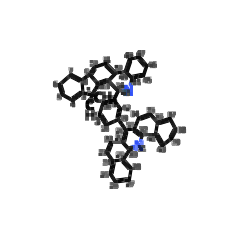 CC1(C)c2ccccc2-c2ccc3c(c(-c4cccc(-c5c6ccc7ccccc7c6nc6c5ccc5ccccc56)c4)nc4ccccc43)c21